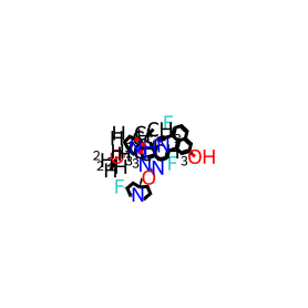 [2H]C([2H])([2H])OC[C@@]12CC[C@@H](CN(c3nc(OC[C@@]45CCCN4C[C@H](F)C5)nc4c(F)c(-c5cc(O)cc6ccc(F)c(C#C[Si](C(C)C)(C(C)C)C(C)C)c56)ncc34)C1)N2